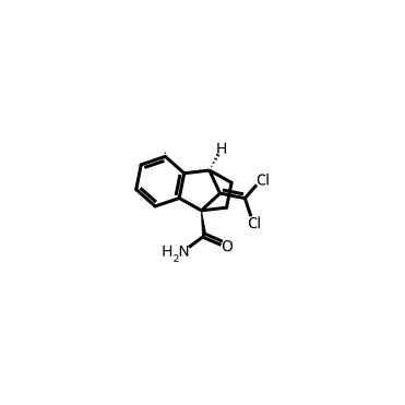 NC(=O)[C@]12CC[C@@H](C1=C(Cl)Cl)c1[c]cccc12